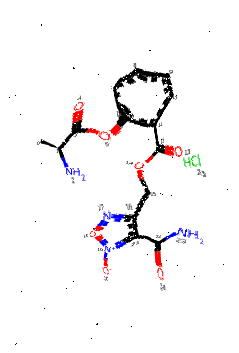 C[C@H](N)C(=O)Oc1ccccc1C(=O)OCc1no[n+]([O-])c1C(N)=O.Cl